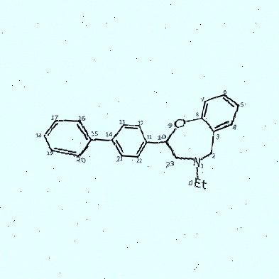 CCN1Cc2ccccc2OC(c2ccc(-c3ccccc3)cc2)C1